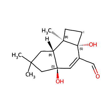 CC1(C)C[C@H]2[C@](O)(C=C(C=O)[C@]3(O)[C]C[C@]23C)C1